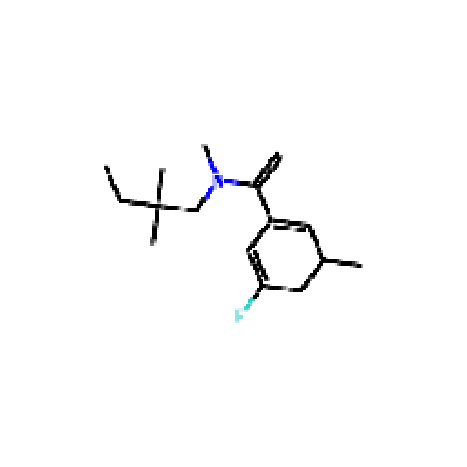 C=C(C1=CC(C)CC(F)=C1)N(C)CC(C)(C)CC